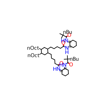 CCCCCCCCC1CC(CCCCC(=O)N[C@H]2CCCC[C@H]2NC(=O)C(C)(C)CCCC)C(CCCCC(=O)N[C@@H]2CCCC[C@@H]2NC(=O)C(C)(C)CCCC)CC1CCCCCCCC